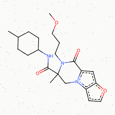 COCCCN1C(=O)c2cc3occc3n2CC1(C)C(=O)NC1CCC(C)CC1